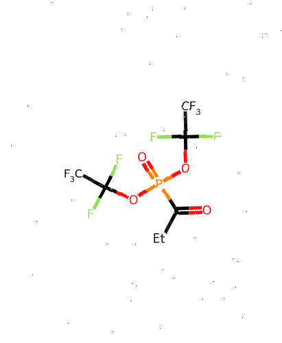 CCC(=O)P(=O)(OC(F)(F)C(F)(F)F)OC(F)(F)C(F)(F)F